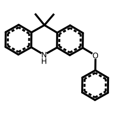 CC1(C)c2ccccc2Nc2cc(Oc3ccccc3)ccc21